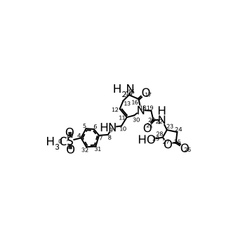 CS(=O)(=O)c1ccc(CNCC2=CCC(N)C(=O)N(CC(=O)NC3CC(=O)OC3O)C2)cc1